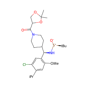 COc1cc(C(C)C)c(Cl)cc1[C@H](N[S@@+]([O-])C(C)(C)C)C1CCN(C(=O)C2COC(C)(C)O2)CC1